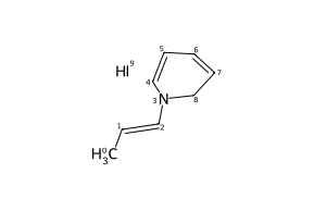 CC=CN1C=CC=CC1.I